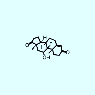 C[C@]12CCC(=O)C=C1CC[C@H]1[C@@H]3CCC(=O)[C@@]3(C)CC(O)C12F